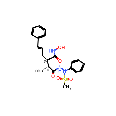 CCCC[C@@H](C(=O)NN(c1ccccc1)S(C)(=O)=O)[C@H](CC=Cc1ccccc1)C(=O)NO